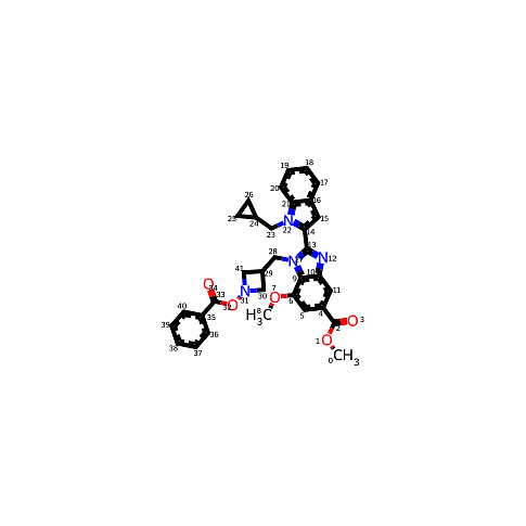 COC(=O)c1cc(OC)c2c(c1)nc(-c1cc3ccccc3n1CC1CC1)n2CC1CN(OC(=O)c2ccccc2)C1